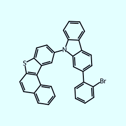 Brc1ccccc1-c1ccc2c3ccccc3n(-c3ccc4sc5ccc6ccccc6c5c4c3)c2c1